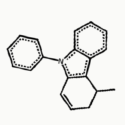 CC1CC=Cc2c1c1ccccc1n2-c1ccccc1